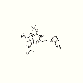 CNC(=O)C1(NC(=O)[C@H](CCCn2ccnc2N)NC(=O)OC(C)(C)C)CCN(C(C)=O)C1